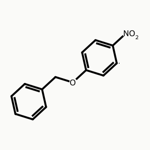 O=[N+]([O-])c1[c]cc(OCc2ccccc2)cc1